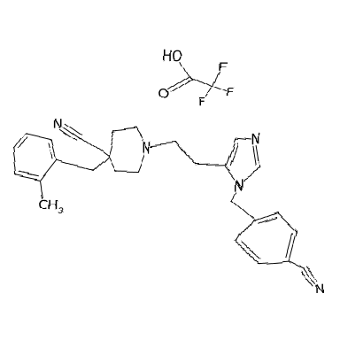 Cc1ccccc1CC1(C#N)CCN(CCc2cncn2Cc2ccc(C#N)cc2)CC1.O=C(O)C(F)(F)F